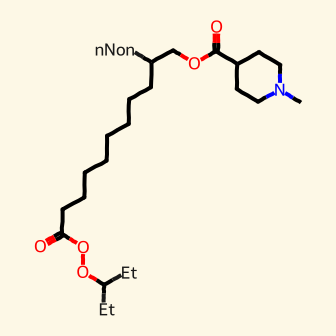 CCCCCCCCCC(CCCCCCCCC(=O)OOC(CC)CC)COC(=O)C1CCN(C)CC1